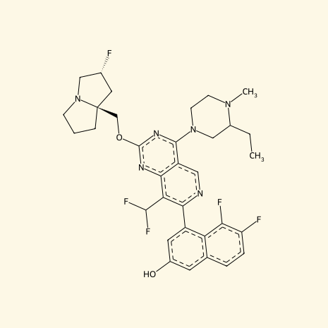 CCC1CN(c2nc(OC[C@@]34CCCN3C[C@H](F)C4)nc3c(C(F)F)c(-c4cc(O)cc5ccc(F)c(F)c45)ncc23)CCN1C